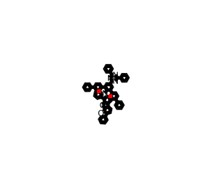 C1=C(c2nc(-c3ccccc3)nc(-c3ccccc3)n2)CC(c2ccc(-c3ccccc3)cc2)C(n2c3ccccc3c3c4oc5c(ccc6c7ccccc7oc65)c4ccc32)=C1c1ccc(-c2ccccc2)cc1